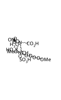 COCCOCCOCCOCCOCCC1(C)C(/C=C/C=C/C=C2/N(CCCCCC(=O)O)c3ccc(S(=O)(=O)N=O)cc3C2(C)CCCS(=O)(=O)O)=[N+](CCOC)c2ccc(S(=O)(=O)O)cc21